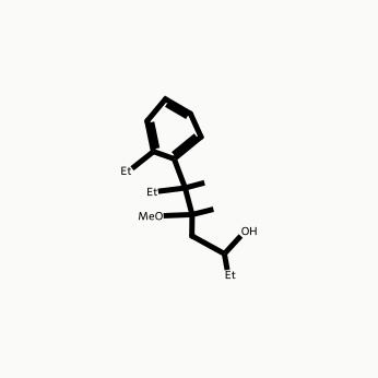 CCc1ccccc1C(C)(CC)C(C)(CC(O)CC)OC